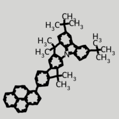 CC(C)(C)c1ccc2c(c1)c1cc(C(C)(C)C)cc3c1n2-c1cc2c(cc1C3(C)C)-c1ccc(-c3ccc4ccc5cccc6ccc3c4c56)cc1C2(C)C